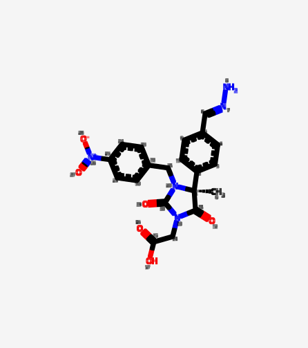 C[C@]1(c2ccc(C=NN)cc2)C(=O)N(CC(=O)O)C(=O)N1Cc1ccc([N+](=O)[O-])cc1